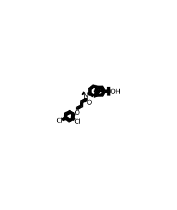 CN(C(=O)CCCOc1ccc(Cl)cc1Cl)C1CCC2CC3CC(C(C)(C)O)(C2)CC31